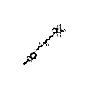 C#Cc1nc2ccc(OCCCNC(=O)CCCC[C@@H]3SC[C@@H]4NC(=O)N[C@@H]43)cc2s1